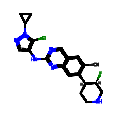 N#Cc1cc2cnc(Nc3cnn(C4CC4)c3Cl)nc2cc1[C@@H]1CCNC[C@H]1F